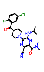 CC(C)Nc1nc(C(=O)N(C)C)c(C#N)nc1N1CCC(C(=O)c2cc(Cl)ccc2F)CC1